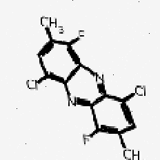 Cc1cc(Cl)c2nc3c(F)c(C)cc(Cl)c3nc2c1F